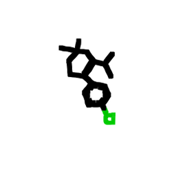 CC(C)C1=C(c2ccc(Cl)cc2)CCC(C)(C)C1